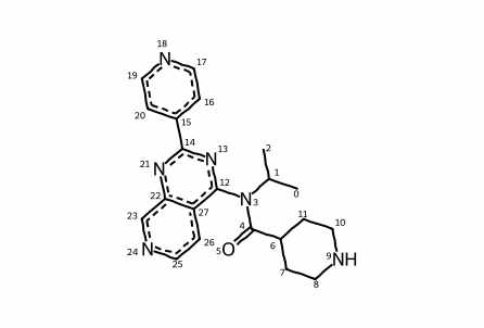 CC(C)N(C(=O)C1CCNCC1)c1nc(-c2ccncc2)nc2cnccc12